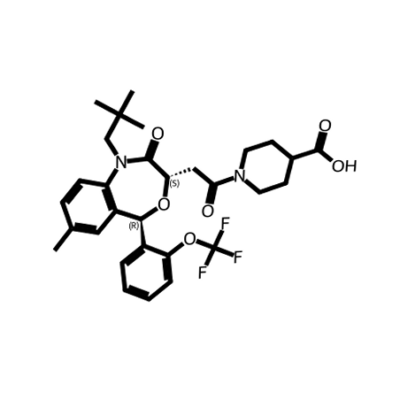 Cc1ccc2c(c1)[C@H](c1ccccc1OC(F)(F)F)O[C@@H](CC(=O)N1CCC(C(=O)O)CC1)C(=O)N2CC(C)(C)C